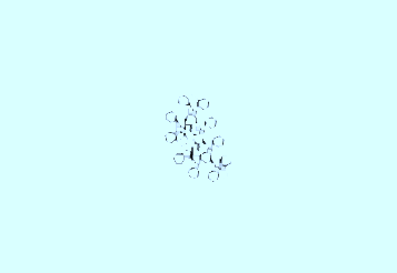 c1ccc(N2c3cc4c(cc3B3c5oc6ccccc6c5N(c5ccccc5)c5cc(N6c7ccccc7Sc7ccccc76)cc2c53)B2c3oc5ccccc5c3N(c3ccccc3)c3cc(N5c6ccccc6Sc6ccccc65)cc(c32)N4c2ccccc2)cc1